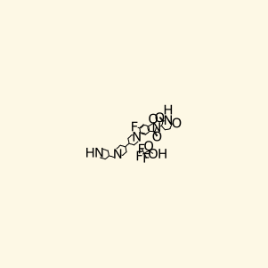 O=C(O)C(F)(F)F.O=C1CCC(N2C(=O)c3cc(F)c(N4CCC(C5CCN(CC6CCNCC6)CC5)CC4)cc3C2=O)C(=O)N1